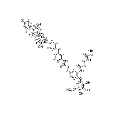 C[C@]12C=CC(=O)C=C1CC[C@@H]1[C@@H]2[C@@H](O)C[C@@]2(C)[C@H]1C[C@H]1O[C@@H](c3ccc(Cc4cccc(NC(=O)OCc5ccc(O[C@@H]6O[C@H](C(=O)O)[C@@H](O)[C@H](O)[C@H]6O)c(NC(=O)CCNC(=O)CBr)c5)c4)cc3)O[C@]12C(=O)CO